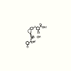 COc1cc(Oc2ccc3c(c2)C[C@@H](NC[C@H](O)c2cccc(Cl)c2)CC3)cc(C(=O)O)c1.Cl